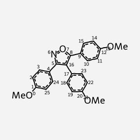 COc1ccc(-c2noc(-c3ccc(OC)cc3)c2-c2ccc(OC)cc2)cc1